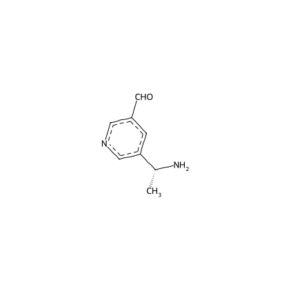 C[C@@H](N)c1cncc(C=O)c1